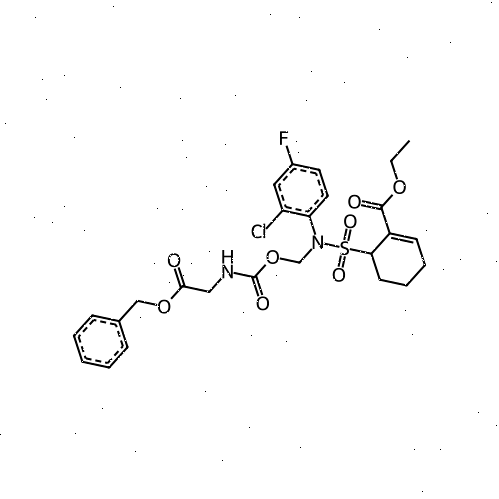 CCOC(=O)C1=CCCCC1S(=O)(=O)N(COC(=O)NCC(=O)OCc1ccccc1)c1ccc(F)cc1Cl